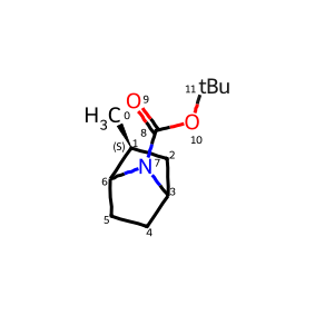 C[C@H]1CC2CCC1N2C(=O)OC(C)(C)C